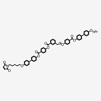 CCCOc1ccc(-c2ccc(OC(=O)c3ccc(OOCc4cccc(C(=O)Oc5ccc(C(=O)Oc6ccc(-c7ccc(OCCCCCN8C(=O)C=CC8=O)cc7)cc6)cc5)c4)cc3)cc2)cc1